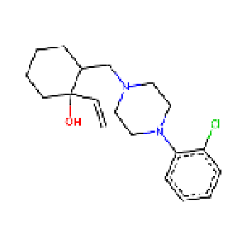 C=CC1(O)CCCCC1CN1CCN(c2ccccc2Cl)CC1